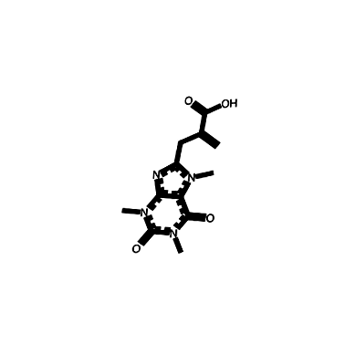 C=C(Cc1nc2c(c(=O)n(C)c(=O)n2C)n1C)C(=O)O